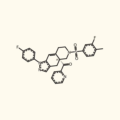 Cc1ccc(S(=O)(=O)N2CCC3=Cc4c(cnn4-c4ccc(F)cc4)C[C@]3(C(=O)c3ccccn3)C2)cc1F